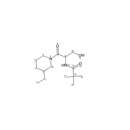 CCC1CCCN(C(=O)C(CO)NC(=O)C(C)(C)C)C1